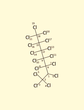 Cl[C](C(Cl)(Cl)Cl)C(Cl)(Cl)C(Cl)(Cl)C(Cl)(Cl)C(Cl)(Cl)C(Cl)(Cl)Cl